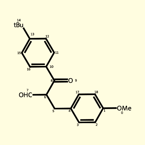 COc1ccc(CC(C=O)C(=O)c2ccc(C(C)(C)C)cc2)cc1